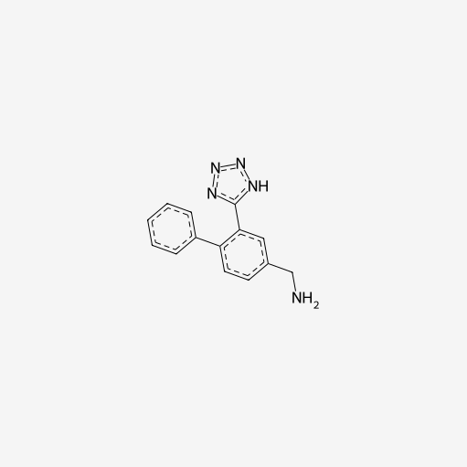 NCc1ccc(-c2ccccc2)c(-c2nnn[nH]2)c1